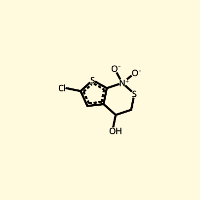 [O-][N+]1([O-])SCC(O)c2cc(Cl)sc21